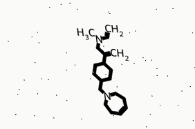 C=CN(C)CC(=C)C1CCC(CN2CCC=CCC2)CC1